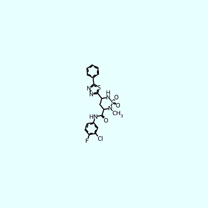 CN1C(C(=O)Nc2ccc(F)c(Cl)c2)CC(c2nnc(-c3ccccc3)s2)NS1(=O)=O